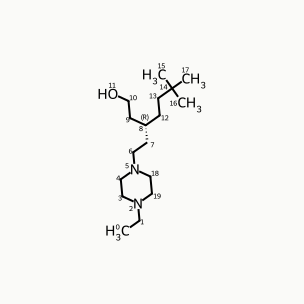 CCN1CCN(CC[C@H](CCO)CCC(C)(C)C)CC1